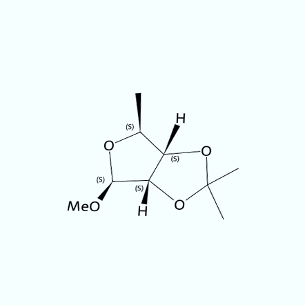 CO[C@H]1O[C@@H](C)[C@@H]2OC(C)(C)O[C@H]12